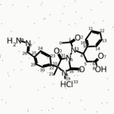 CC(=O)N(C(CC(=O)O)c1ccccc1)N1C(=O)N(C)C(C)(c2ccc(C=NN)cc2)C1=O.Cl